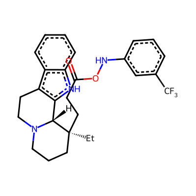 CC[C@]1(CCC(=O)ONc2cccc(C(F)(F)F)c2)CCCN2CCc3c([nH]c4ccccc34)[C@@H]21